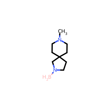 BN1CCC2(CCN(C)CC2)C1